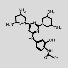 CC(C)C(=O)Nc1ccc(Nc2nc(N3C[C@H](N)C[C@H](N)C3)nc(N3C[C@H](N)C[C@H](N)C3)n2)cc1O